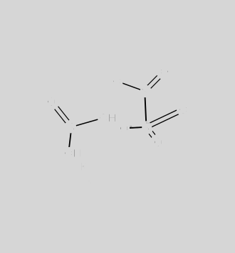 O=S(O)O.O=S([O-])S(=O)(=O)[O-].[K+].[K+]